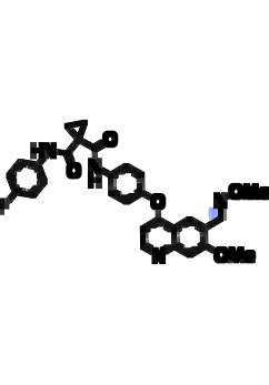 CO/N=C/c1cc2c(Oc3ccc(NC(=O)C4(C(=O)Nc5ccc(F)cc5)CC4)cc3)ccnc2cc1OC